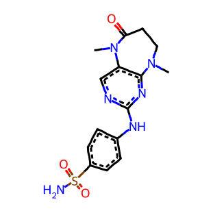 CN1CCC(=O)N(C)c2cnc(Nc3ccc(S(N)(=O)=O)cc3)nc21